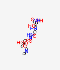 O=C(NC1CN(C(=O)COc2cccc([C@](O)(C(=O)OCC3CCN(Cc4ccccc4)CC3)c3ccccc3)c2)C1)c1ccc(CNC[C@H](O)c2ccc(O)c3[nH]c(=O)ccc23)cc1